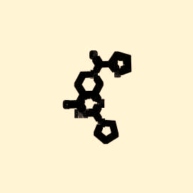 O=C(c1cccs1)N1CCc2c(nc(N3CCCC3)[nH]c2=O)C1